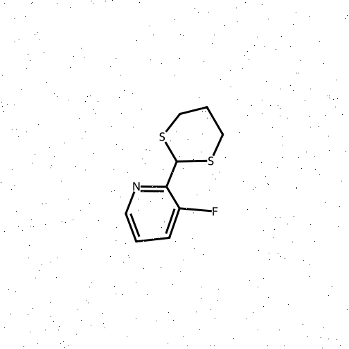 Fc1cccnc1C1SCCCS1